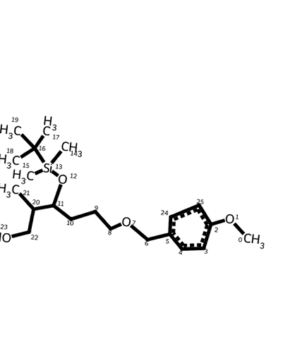 COc1ccc(COCCCC(O[Si](C)(C)C(C)(C)C)C(C)CO)cc1